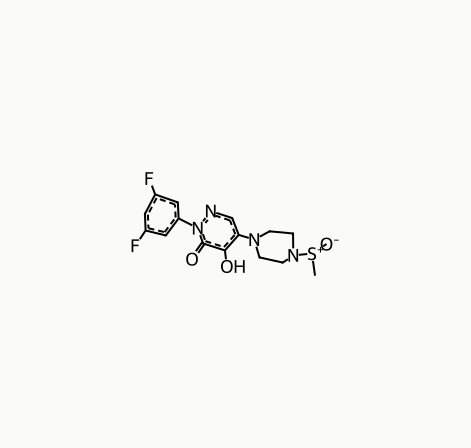 C[S+]([O-])N1CCN(c2cnn(-c3cc(F)cc(F)c3)c(=O)c2O)CC1